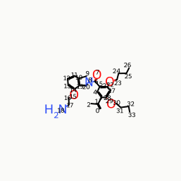 C=C(C)c1cc(C(=O)N2Cc3cccc(OCCN)c3C2)c(OCCCC)cc1OCCCC